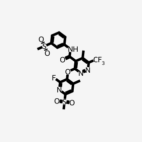 Cc1cc(S(C)(=O)=O)nc(F)c1Oc1nnc(C(F)(F)F)c(C)c1C(=O)Nc1cccc(S(C)(=O)=O)c1